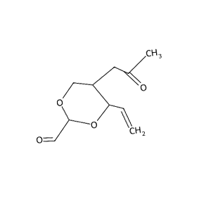 C=CC1OC(C=O)OCC1CC(C)=O